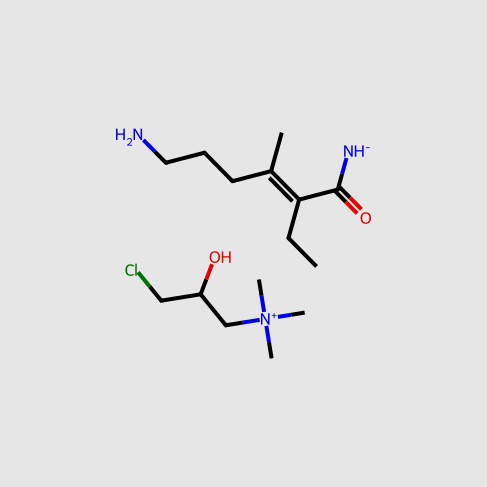 CCC(C([NH-])=O)=C(C)CCCN.C[N+](C)(C)CC(O)CCl